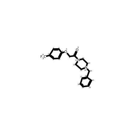 O=C(COc1ccc(C(F)(F)F)cc1)N1CCN(Cc2ccccc2)CC1